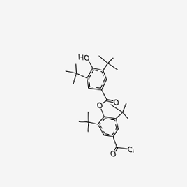 CC(C)(C)c1cc(C(=O)Oc2c(C(C)(C)C)cc(C(=O)Cl)cc2C(C)(C)C)cc(C(C)(C)C)c1O